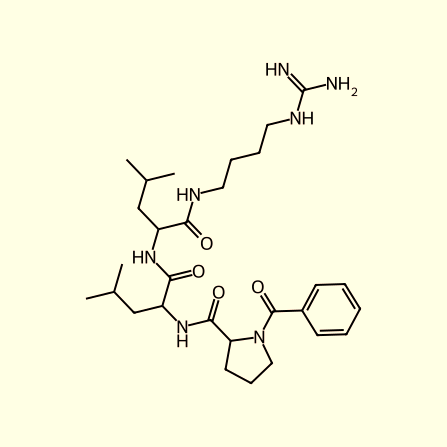 CC(C)CC(NC(=O)C(CC(C)C)NC(=O)C1CCCN1C(=O)c1ccccc1)C(=O)NCCCCNC(=N)N